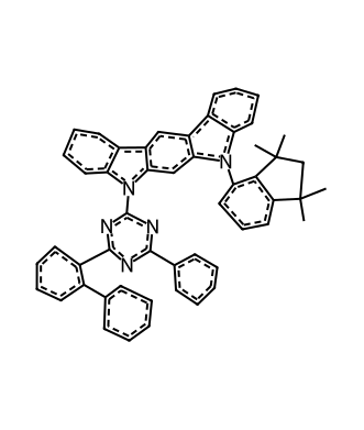 CC1(C)CC(C)(C)c2c(-n3c4ccccc4c4cc5c6ccccc6n(-c6nc(-c7ccccc7)nc(-c7ccccc7-c7ccccc7)n6)c5cc43)cccc21